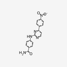 NC(=O)c1ccc(Nc2nccc(-c3ccc([N+](=O)[O-])cc3)n2)cc1